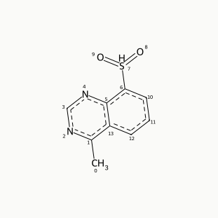 Cc1ncnc2c([SH](=O)=O)cccc12